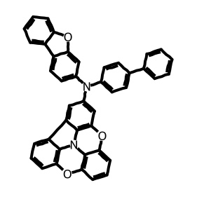 c1ccc(-c2ccc(N(c3ccc4c(c3)oc3ccccc34)c3cc4c5c(c3)c3cccc6c3n5-c3c(cccc3O4)O6)cc2)cc1